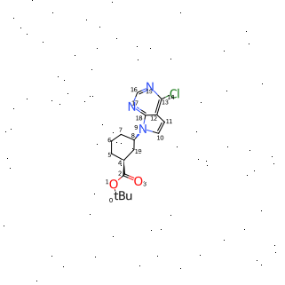 CC(C)(C)OC(=O)[C@H]1CCC[C@@H](n2ccc3c(Cl)ncnc32)C1